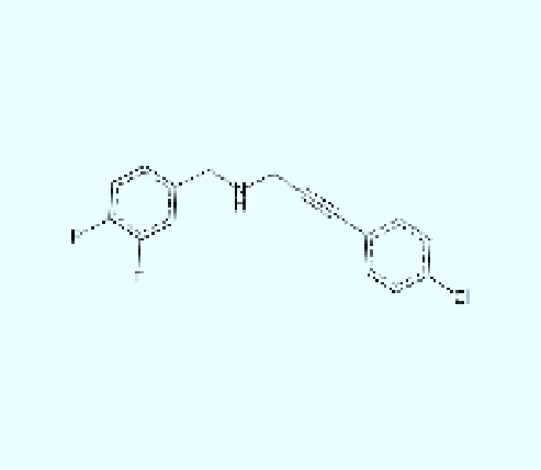 Fc1ccc(CNCC#Cc2ccc(Cl)cc2)cc1F